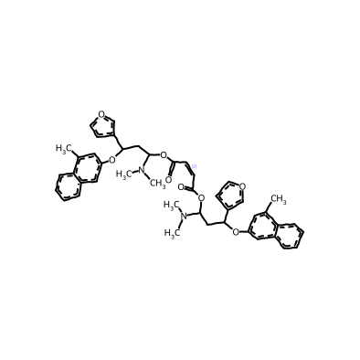 Cc1cc(OC(CC(OC(=O)/C=C\C(=O)OC(CC(Oc2cc(C)c3ccccc3c2)c2ccoc2)N(C)C)N(C)C)c2ccoc2)cc2ccccc12